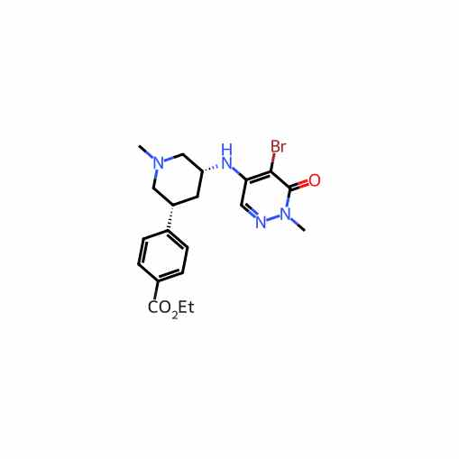 CCOC(=O)c1ccc([C@H]2C[C@@H](Nc3cnn(C)c(=O)c3Br)CN(C)C2)cc1